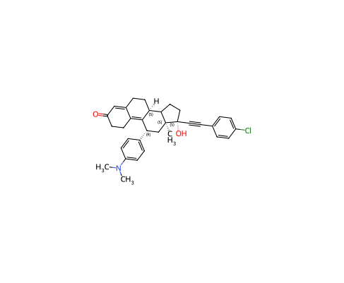 CN(C)c1ccc([C@H]2C[C@@]3(C)C(CC[C@@]3(O)C#Cc3ccc(Cl)cc3)[C@@H]3CCC4=CC(=O)CCC4=C32)cc1